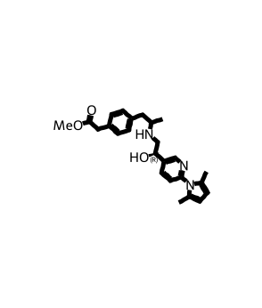 COC(=O)Cc1ccc(CC(C)NC[C@H](O)c2ccc(-n3c(C)ccc3C)nc2)cc1